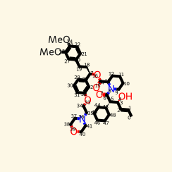 C/C=C/[C@@H](O)[C@@H](C(=O)N1CCCCC1C(=O)O[C@H](CCc1ccc(OC)c(OC)c1)c1cccc(OCCN2CCOCC2)c1)C1CCCCC1